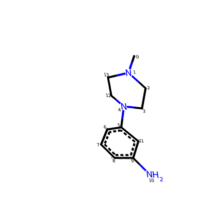 CN1CCN(c2cc[c]c(N)c2)CC1